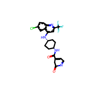 O=C1CC(C(=O)N[C@H]2CC[C@@H](Nc3cc(C(F)(F)F)nc4ccc(Cl)cc34)CC2)=CC=N1